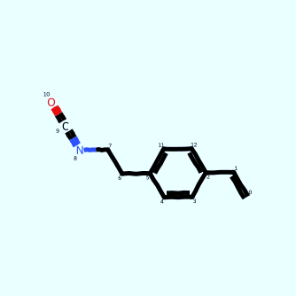 C=Cc1ccc(CCN=C=O)cc1